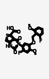 COc1cc(F)c(-n2c(=O)[nH]c3csc(C(=O)O)c3c2=O)cc1OCc1c(F)cccc1OC